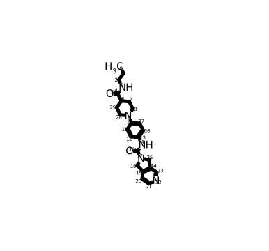 CCCNC(=O)C1CCN(c2ccc(NC(=O)N3Cc4ccncc4C3)cc2)CC1